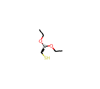 CCO[Si](=CS)OCC